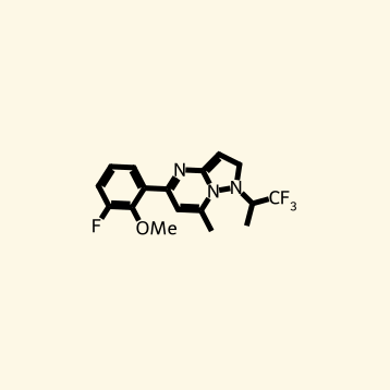 COc1c(F)cccc1C1=NC2=CCN(C(C)C(F)(F)F)N2C(C)=C1